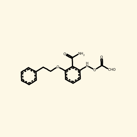 NC(=O)c1c(NOC(=O)C=O)cccc1OCCc1ccccc1